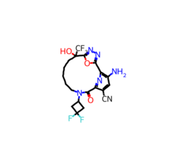 N#Cc1cc(N)c2nc1C(=O)N(C1CC(F)(F)C1)CCCCCC(O)(C(F)(F)F)c1nnc-2o1